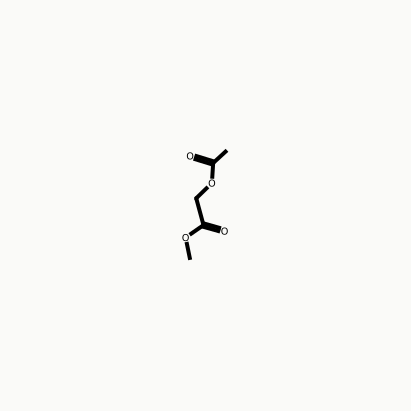 COC(=O)COC(C)=O